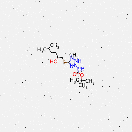 CC(C)CCC(O)CSC1=NN(NC(=O)OC(C)(C)C)NN1C